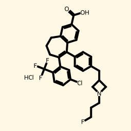 Cl.O=C(O)c1ccc2c(c1)CCCC(c1cc(Cl)ccc1C(F)(F)F)=C2c1ccc(CC2CN(CCCF)C2)cc1